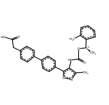 Cc1ccccc1[C@@H](C)OC(=O)Nc1c(C)noc1-c1ccc(-c2ccc(CC(=O)O)cc2)cc1